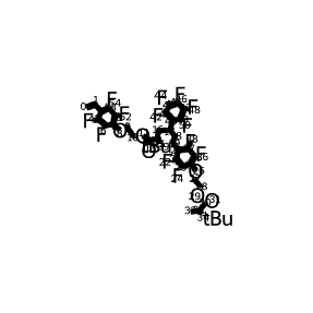 C=Cc1c(F)c(F)c(OCCOC(=O)C(C)CC(CC(c2c(F)c(F)c(OCCOC(=O)C(C)C(C)(C)C)c(F)c2F)C(C)(C)C)c2c(F)c(F)c(F)c(F)c2F)c(F)c1F